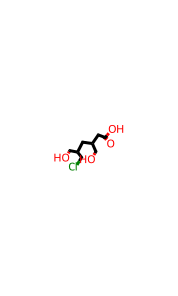 O=C(O)CC(CO)CC(CO)CCl